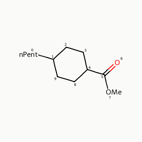 CCCCCC1CCC(C(=O)OC)CC1